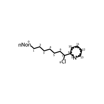 CCCCCCCCCCCCCCCC(Cl)c1ccccn1